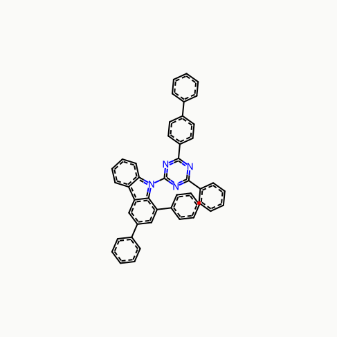 c1ccc(-c2ccc(-c3nc(-c4ccccc4)nc(-n4c5ccccc5c5cc(-c6ccccc6)cc(-c6ccccc6)c54)n3)cc2)cc1